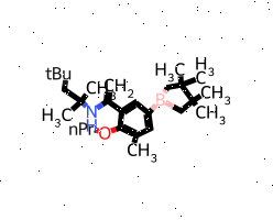 C=C(NC(C)(C)CC(C)(C)C)c1cc(B2CC(C)(C)C(C)(C)C2)cc(C)c1OCCC